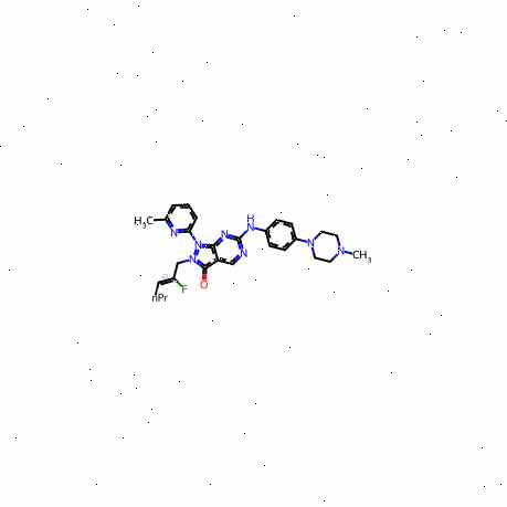 CCC/C=C(\F)Cn1c(=O)c2cnc(Nc3ccc(N4CCN(C)CC4)cc3)nc2n1-c1cccc(C)n1